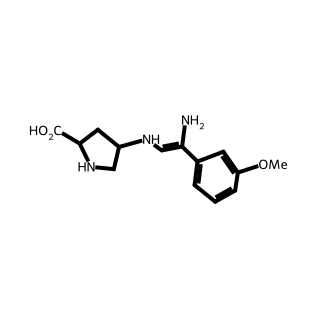 COc1cccc(/C(N)=C/NC2CNC(C(=O)O)C2)c1